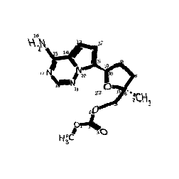 COC(=O)OC[C@]1(C)CC[C@H](c2ccc3c(N)ncnn23)O1